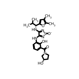 Cc1cc([C@H](Nc2n[s+]([O-])nc2Nc2cccc(C(=O)N3CC[C@@H](O)C3)c2O)C(C)C)oc1C